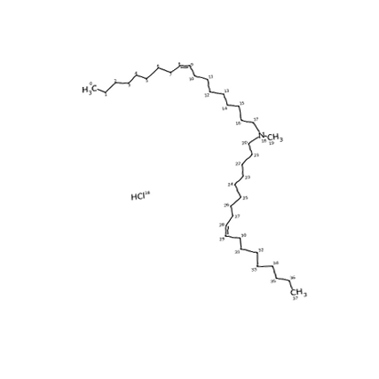 CCCCCCCC/C=C\CCCCCCCCN(C)CCCCCCCC/C=C\CCCCCCCC.Cl